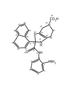 Nc1ccccc1NC(=O)C1(c2cccc3ccccc23)NC2=C(CN(C(=O)O)CC2)S1